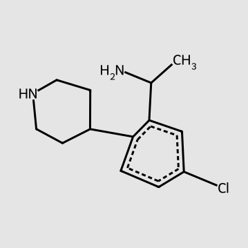 CC(N)c1cc(Cl)ccc1C1CCNCC1